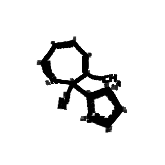 CC1=CC=CC=NC1(Br)c1cccs1